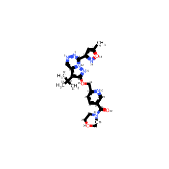 Cc1cc(-c2nncc3c(C(C)(C)C)c(OCc4ccc(C(=O)N5CCOCC5)cn4)nn23)no1